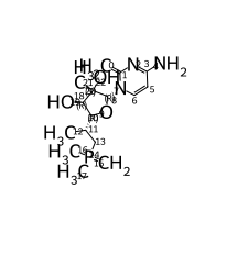 C=C1N=C(N)C=CN1[C@@H]1O[C@H](C(C)CP(=C)(C)C)[C@@H](O)[C@]1(C)O